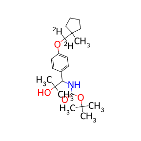 [2H]C([2H])(Oc1ccc(C(NC(=O)OC(C)(C)C)C(C)(C)O)cc1)C1(C)CCCC1